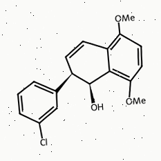 COc1ccc(OC)c2c1C=C[C@H](c1cccc(Cl)c1)[C@@H]2O